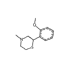 COc1ccccc1C1CN(C)CCS1